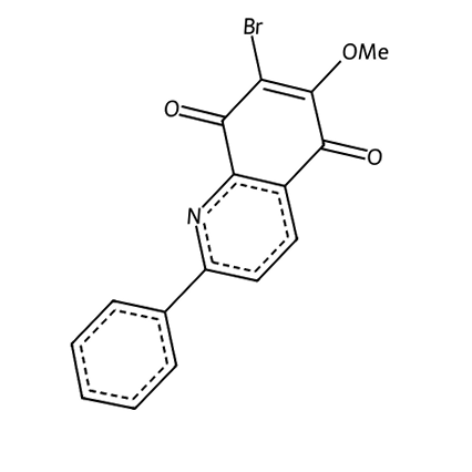 COC1=C(Br)C(=O)c2nc(-c3ccccc3)ccc2C1=O